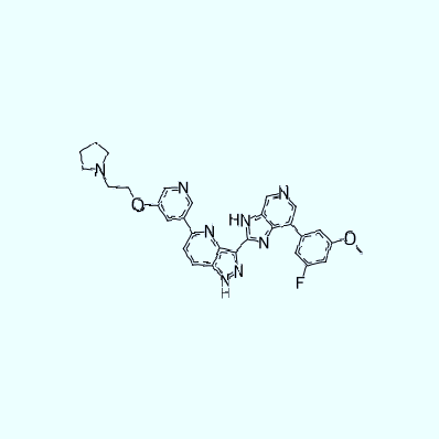 COc1cc(F)cc(-c2cncc3[nH]c(-c4n[nH]c5ccc(-c6cncc(OCCN7CCCC7)c6)nc45)nc23)c1